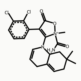 CC1(C)CC=C2CC=CN(C3=C(c4cccc(Cl)c4Cl)C(=O)O[N+]3(C)C(N)=O)C2C1